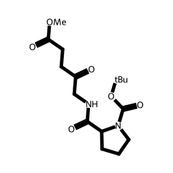 COC(=O)CCC(=O)CNC(=O)C1CCCN1C(=O)OC(C)(C)C